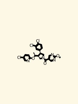 COc1ncc(C(=O)N2C[C@@H]([C@H](C)Oc3ccc(Cl)cn3)[C@@H](c3ccc(Cl)c(Cl)c3)C2)cn1